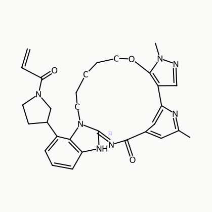 C=CC(=O)N1CCC(c2cccc3c2N2CCCCCOc4c(cnn4C)-c4cc(cc(C)n4)C(=O)/N=C/2N3)C1